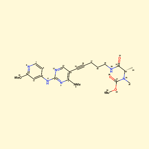 CNc1nc(Nc2ccnc(OC)c2)ncc1C#CCCCNC(=O)[C@H](C)N(C)C(=O)OC(C)(C)C